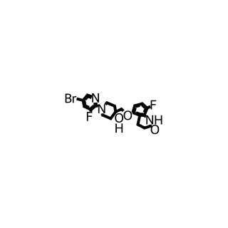 O=C1CCc2c(OCC3(O)CCN(c4ncc(Br)cc4F)CC3)ccc(F)c2N1